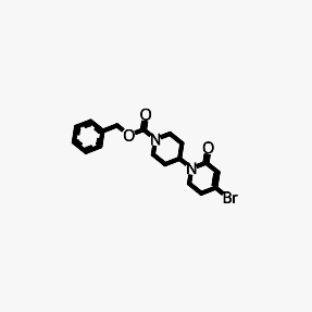 O=C(OCc1ccccc1)N1CCC(N2CCC(Br)=CC2=O)CC1